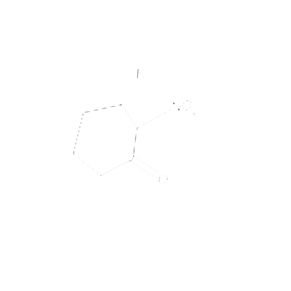 O=C1CCCCC1[N+](=O)[O-].[K+]